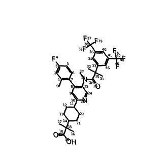 Cc1cc(F)ccc1-c1cc(C2CCC(C(C)(C)C(=O)O)CC2)ncc1N(C)C(=O)C(C)(C)c1cc(C(F)(F)F)cc(C(F)(F)F)c1